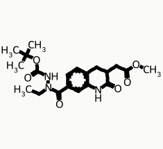 CCN(NC(=O)OC(C)(C)C)C(=O)c1ccc2c(c1)NC(=O)C(CC(=O)OC)C2